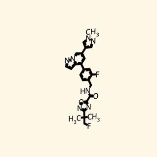 Cn1cc(-c2cc(-c3ccc(CNC(=O)c4nc(C(C)(C)CF)no4)c(F)c3)c3ccnn3c2)cn1